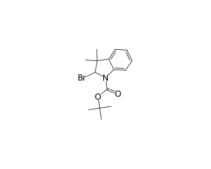 CC(C)(C)OC(=O)N1c2ccccc2C(C)(C)C1Br